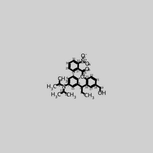 CCC(c1cccc(N(C(C)C)C(C)C)c1)c1cc(CO)ccc1OC(=O)c1ccccc1[N+](=O)[O-]